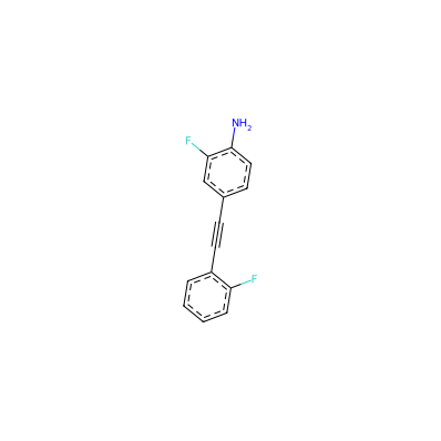 Nc1ccc(C#Cc2ccccc2F)cc1F